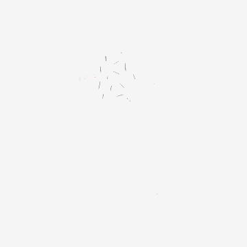 COc1c(O)c2c(=O)cc(OC)c3c4c(OC)cc(=O)c5c(O)c(NCCSCCOCCOCCOCCO)c6c(c(c1C=C(C)C6)c23)c54